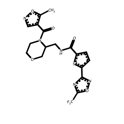 Cc1oncc1C(=O)N1CCOCC1CNC(=O)c1ccc(-c2noc(C(F)(F)F)n2)s1